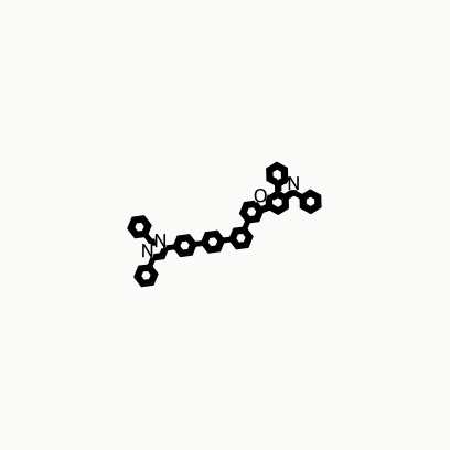 c1ccc(-c2cc(-c3ccc(-c4ccc(-c5cccc(-c6ccc7oc8c(ccc9c(-c%10ccccc%10)nc%10ccccc%10c98)c7c6)c5)cc4)cc3)nc(-c3ccccc3)n2)cc1